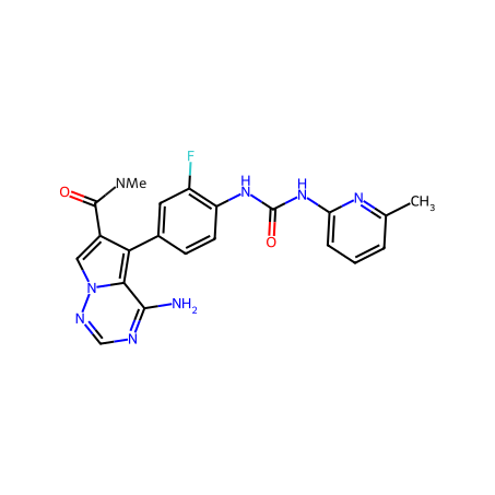 CNC(=O)c1cn2ncnc(N)c2c1-c1ccc(NC(=O)Nc2cccc(C)n2)c(F)c1